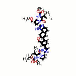 COC[C@H]1C[C@@H](c2nc3ccc4cc5c(cc4c3[nH]2)OCc2cc(-c3cnc([C@@H]4CC[C@H](C)N4C(=O)[C@@H](NC(O)OC)C(C)C)[nH]3)ccc2-5)N(C(=O)[C@@H](NC(=O)OC)C(C)C)C1